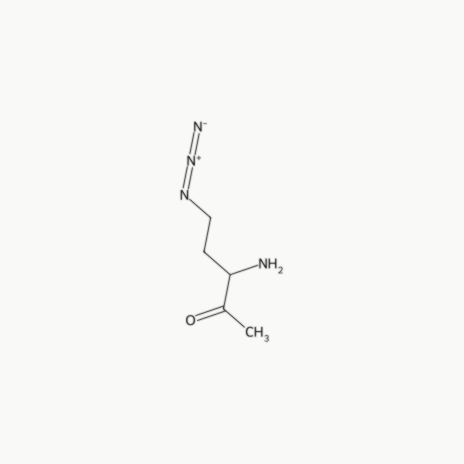 CC(=O)C(N)CCN=[N+]=[N-]